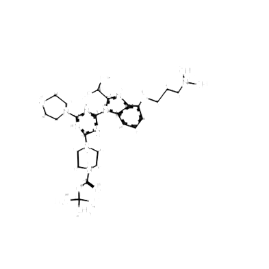 CN(C)CCCOc1cccc2c1nc(C(F)F)n2-c1nc(N2CCOCC2)nc(N2CCN(C(=O)OC(C)(C)C)CC2)n1